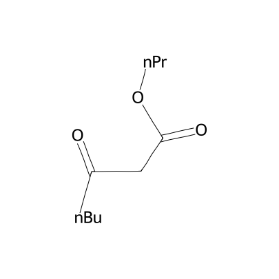 CCCCC(=O)CC(=O)OCCC